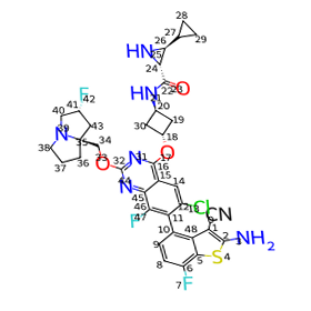 N#Cc1c(N)sc2c(F)ccc(-c3c(Cl)cc4c(O[C@H]5C[C@H](NC(=O)[C@@H]6N[C@H]6C6CC6)C5)nc(OC[C@@]56CCCN5C[C@H](F)C6)nc4c3F)c12